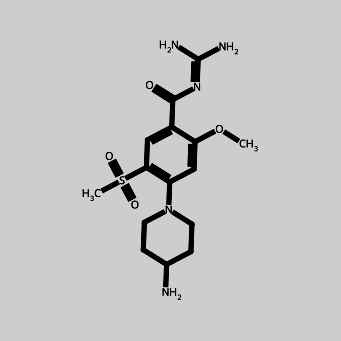 COc1cc(N2CCC(N)CC2)c(S(C)(=O)=O)cc1C(=O)N=C(N)N